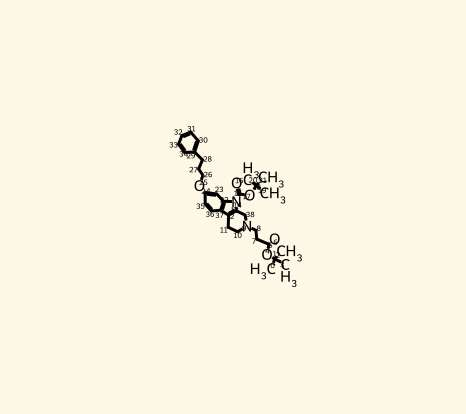 CC(C)(C)OC(=O)CCN1CCc2c(n(C(=O)OC(C)(C)C)c3cc(OCCCc4ccccc4)ccc23)C1